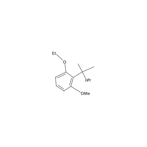 CCCC(C)(C)c1c(OC)cccc1OCC